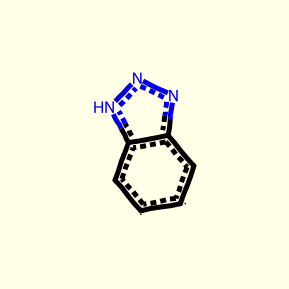 [c]1[c]cc2[nH]nnc2c1